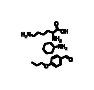 CCCOc1ccc(C=O)cc1.NC1CCCCC1.NCCCCC(N)C(=O)O